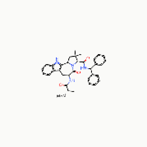 CN[C@@H](C)C(=O)N[C@H]1Cc2c([nH]c3ccccc23)C2CC(C)(C)[C@@H](C(=O)NC(c3ccccc3)c3ccccc3)N2C1=O